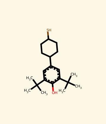 CC(C)(C)c1cc(C2CCC(S)CC2)cc(C(C)(C)C)c1O